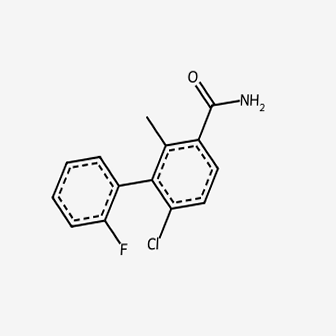 Cc1c(C(N)=O)ccc(Cl)c1-c1ccccc1F